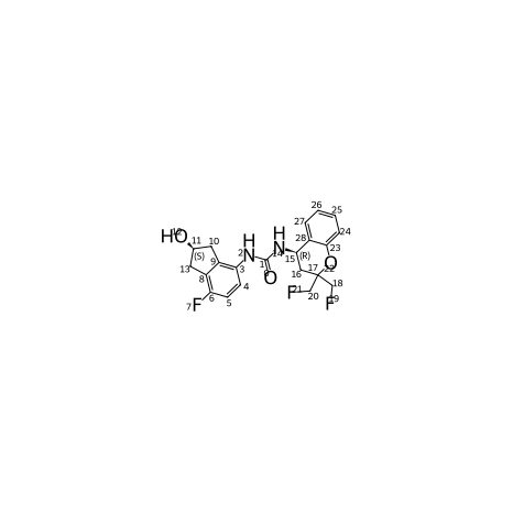 O=C(Nc1ccc(F)c2c1C[C@H](O)C2)N[C@@H]1CC(CF)(CF)Oc2ccccc21